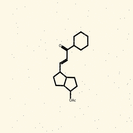 CC(=O)OC1CCC2C(C=CC(=O)C3CCCCC3)CCC12